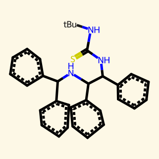 CC(C)(C)NC(=S)NC(c1ccccc1)C(NC(c1ccccc1)c1ccccc1)c1ccccc1